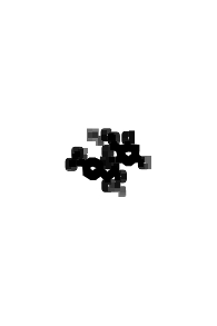 COC(=O)c1c(Cl)cc(Cl)cc1NC(=O)C(C)c1ccc([N+](=O)[O-])cc1